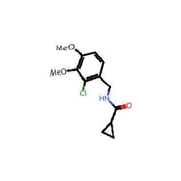 COc1ccc(CNC(=O)C2CC2)c(Cl)c1OC